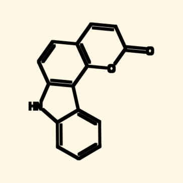 O=c1ccc2ccc3[nH]c4ccccc4c3c2o1